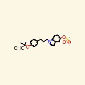 CC(C)(C=O)Oc1ccc(CCCn2ccc3cc(OS(C)(=O)=O)ccc32)cc1